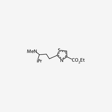 CCOC(=O)c1csc(CCC(NC)C(C)C)n1